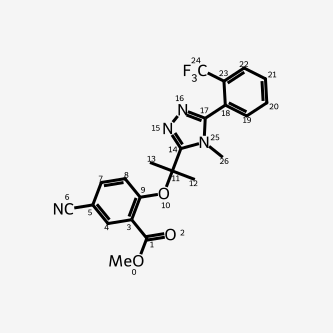 COC(=O)c1cc(C#N)ccc1OC(C)(C)c1nnc(-c2ccccc2C(F)(F)F)n1C